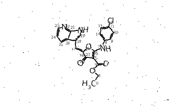 CCOC(=O)C1=C(Nc2ccc(Cl)cc2)O/C(=C\c2c[nH]c3ncccc23)C1=O